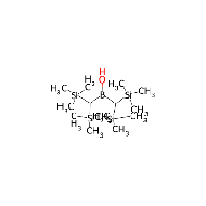 C[Si](C)(C)C(B(O)C([Si](C)(C)C)[Si](C)(C)C)[Si](C)(C)C